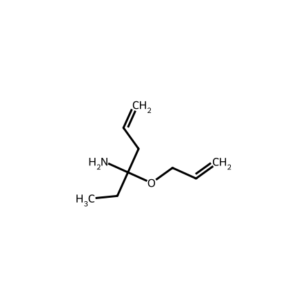 C=CCOC(N)(CC)CC=C